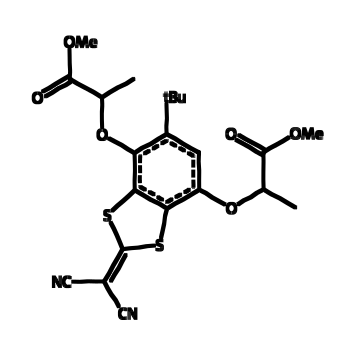 COC(=O)C(C)Oc1cc(C(C)(C)C)c(OC(C)C(=O)OC)c2c1SC(=C(C#N)C#N)S2